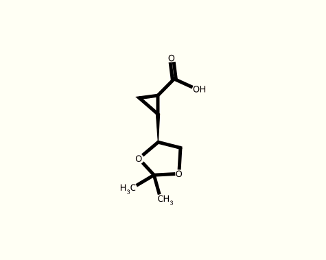 CC1(C)OC[C@H](C2CC2C(=O)O)O1